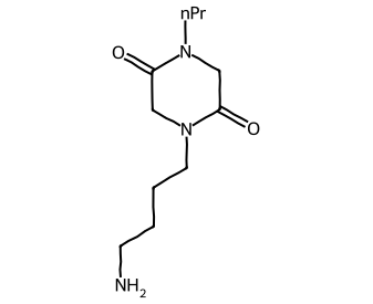 CCCN1CC(=O)N(CCCCN)CC1=O